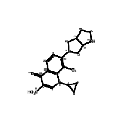 O=C(O)c1cn(C2CC2)c2c(Cl)c(N3CC4CCNC4C3)ccc2c1=O